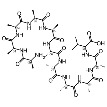 CC(C)[C@H](NC(=O)[C@H](C)NC(=O)[C@H](C)NC(=O)[C@H](C)NC(=O)[C@H](C)NC(=O)[C@H](C)NC(=O)[C@H](C)NC(=O)[C@H](C)NC(=O)[C@H](C)NC(=O)[C@H](C)NC(=O)[C@H](C)N)C(=O)O